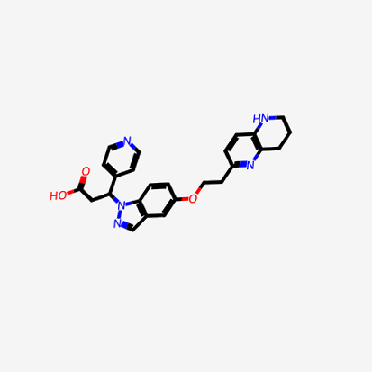 O=C(O)CC(c1ccncc1)n1ncc2cc(OCCc3ccc4c(n3)CCCN4)ccc21